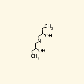 CCC(O)C[N]CC(O)CC